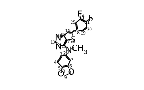 CN(c1ccc2c(c1)OCO2)c1ncnc2cc(-c3ccc(F)c(F)c3)sc12